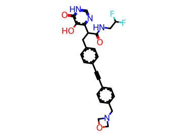 O=C(NCC(F)F)C(Cc1ccc(C#Cc2ccc(CN3COC3)cc2)cc1)c1nc[nH]c(=O)c1O